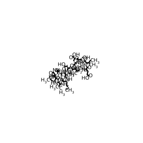 CC[C@H](C)[C@H](NC(=O)[C@H](CCC(=O)O)NC(=O)[C@H](CO)NC(=O)[C@@H](NC(=O)[C@@H](N)CCC(=O)O)[C@@H](C)CC)C(=O)N[C@@H](CC(=O)O)C(=O)N[C@@H](CC(C)C)[C@@H](O)CN[C@@H](CCSC)C(=O)N[C@H](C(=O)N[C@@H](CC(C)C)C(=O)N[C@@H](CC(=O)O)C(N)=O)C(C)C